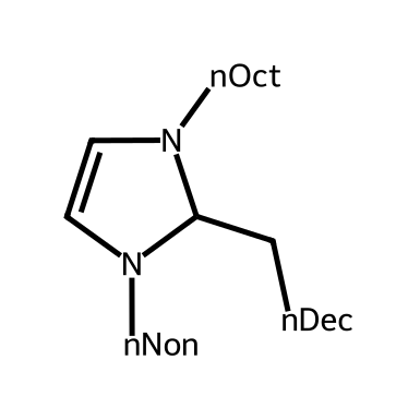 CCCCCCCCCCCC1N(CCCCCCCC)C=CN1CCCCCCCCC